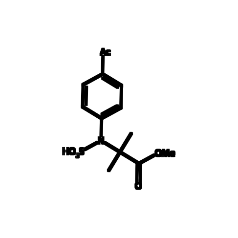 COC(=O)C(C)(C)N(c1ccc(C(C)=O)cc1)S(=O)(=O)O